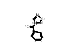 O=C(c1ccccc1)n1cnnn1